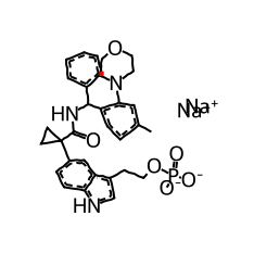 Cc1ccc(C(NC(=O)C2(c3ccc4[nH]cc(CCOP(=O)([O-])[O-])c4c3)CC2)c2ccccc2)c(N2CCOCC2)c1.[Na+].[Na+]